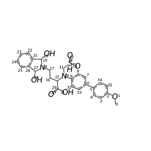 COc1ccc(-c2ccc(N(C[SH](=O)=O)C(CCN3C(O)c4ccccc4C3O)C(=O)O)cc2)cc1